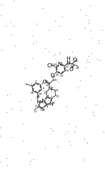 Cc1ccc([C@H]2c3c(nc4sc(C)nn34)CCN2C(=O)COc2ccc(NS(C)(=O)=O)nc2Cl)c(F)c1